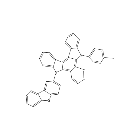 Cc1ccc(-n2c3ccccc3c3c4c5ccccc5n(-c5ccc6sc7ccccc7c6c5)c4c4ccccc4c32)cc1